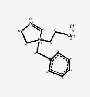 OCC[N+]1(Cc2ccccc2)C=NCC1.[Cl-]